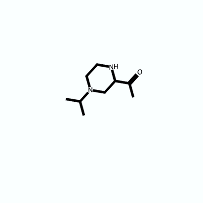 CC(=O)C1CN(C(C)C)CCN1